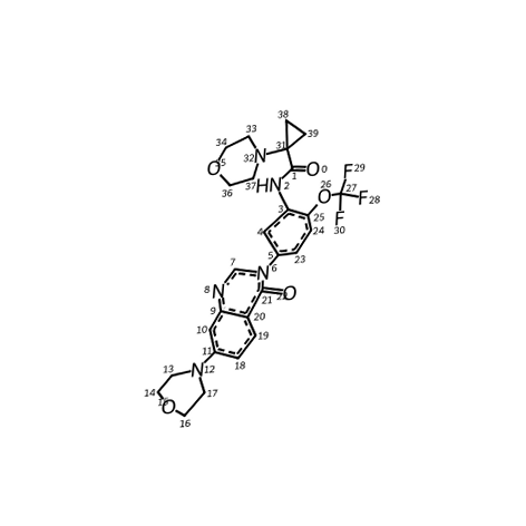 O=C(Nc1cc(-n2cnc3cc(N4CCOCC4)ccc3c2=O)ccc1OC(F)(F)F)C1(N2CCOCC2)CC1